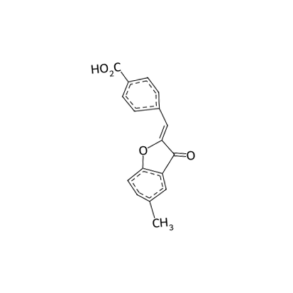 Cc1ccc2c(c1)C(=O)/C(=C/c1ccc(C(=O)O)cc1)O2